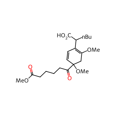 CCCCC(C(=O)O)C1=C(OC)CC(OC)(C(=O)CCCCC(=O)OC)C=C1